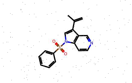 C=C(C)c1cn(S(=O)(=O)c2ccccc2)c2ccncc12